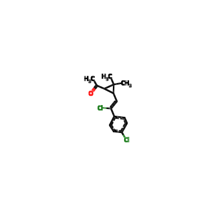 CC(=O)C1C(/C=C(\Cl)c2ccc(Cl)cc2)C1(C)C